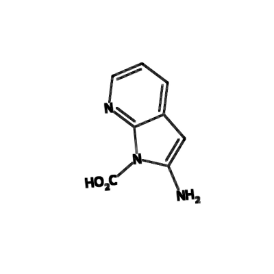 Nc1cc2cccnc2n1C(=O)O